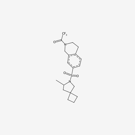 CC1CC2(CCC2)CN1S(=O)(=O)c1ccc2c(c1)CN(C(=O)C(F)(F)F)CC2